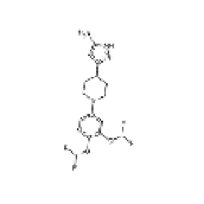 Nc1cc(C2CCN(c3cnc(OC(F)F)c(OC(F)F)c3)CC2)n[nH]1